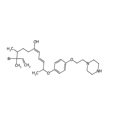 C=CC(C)(Br)C(C)CC/C(O)=C\C=C\C(C)Oc1ccc(OCCN2CCNCC2)cc1